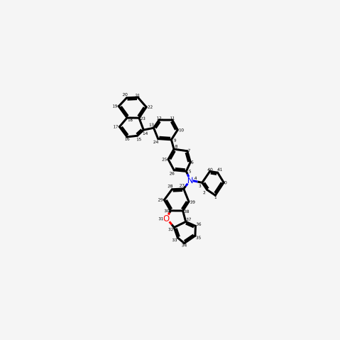 c1ccc(N(c2ccc(-c3cccc(-c4cccc5ccccc45)c3)cc2)c2ccc3oc4ccccc4c3c2)cc1